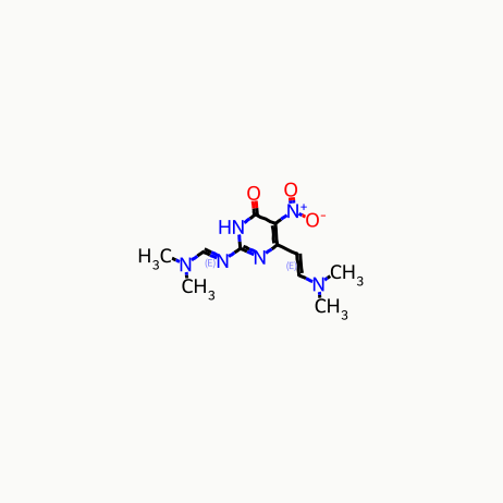 CN(C)/C=C/c1nc(/N=C/N(C)C)[nH]c(=O)c1[N+](=O)[O-]